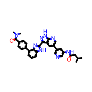 CC(C)CC(=O)Nc1cncc(-c2cnc3[nH]nc(-c4nc5c(-c6ccc(C(=O)N(C)C)cc6)cccc5[nH]4)c3c2)c1